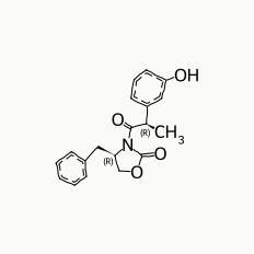 C[C@@H](C(=O)N1C(=O)OC[C@H]1Cc1ccccc1)c1cccc(O)c1